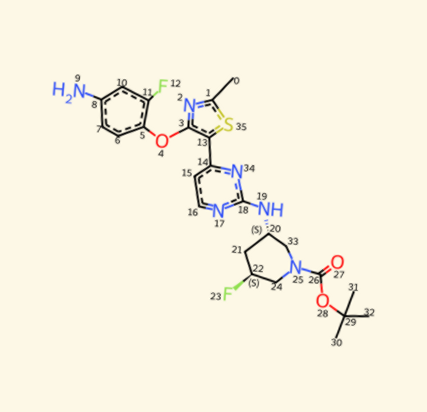 Cc1nc(Oc2ccc(N)cc2F)c(-c2ccnc(N[C@H]3C[C@H](F)CN(C(=O)OC(C)(C)C)C3)n2)s1